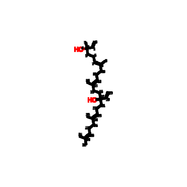 C=CC(C)(O)CCC=C(C)CCC=C(C)CCC(O)(C=C)CC/C=C(\C)CCC=C(C)C